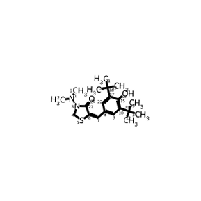 CN(C)N1CSC(=Cc2cc(C(C)(C)C)c(O)c(C(C)(C)C)c2)C1=O